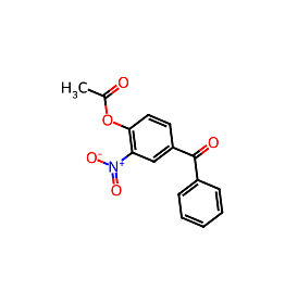 CC(=O)Oc1ccc(C(=O)c2ccccc2)cc1[N+](=O)[O-]